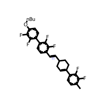 CCCCOc1ccc(-c2ccc(/C=C/C3CC=C(c4ccc(C)c(F)c4F)CC3)c(F)c2F)c(F)c1F